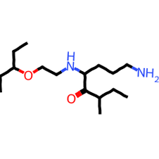 CCC(CC)OCCNC(CCCN)C(=O)C(C)CC